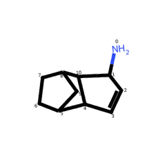 NC1C=CC2C3CCC(C3)C12